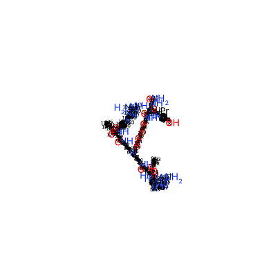 CC(C)[C@H](Nc1ccc(CO)cc1)C(=O)C[C@@H](CCCNC(N)=O)C(=O)NCCOCCOCCOCCOCCN(CCCCCNC(=O)CC[C@H](NC(=O)c1ccc(N(C)Cc2cnc3nc(N)nc(N)c3n2)cc1)C(=O)OCC[Si](C)(C)C)CCCCCNC(=O)CC[C@H](NC(=O)c1ccc(N(C)Cc2cnc3nc(N)nc(N)c3n2)cc1)C(=O)OCC[Si](C)(C)C